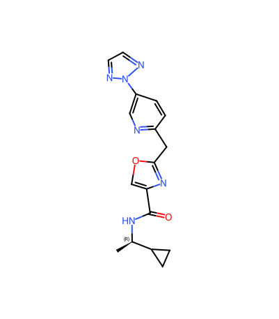 C[C@@H](NC(=O)c1coc(Cc2ccc(-n3nccn3)cn2)n1)C1CC1